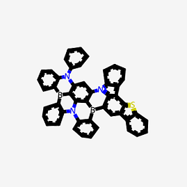 c1ccc(N2c3ccccc3B3c4ccccc4N4c5ccccc5B5c6c(cc2c3c64)-n2c3ccccc3c3c4sc6ccccc6c4cc5c32)cc1